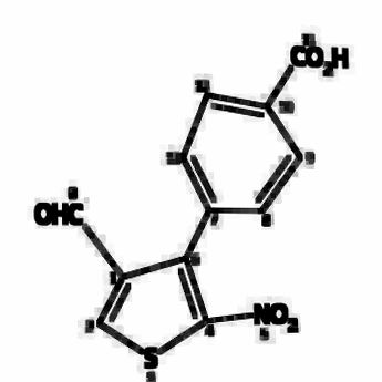 O=Cc1csc([N+](=O)[O-])c1-c1ccc(C(=O)O)cc1